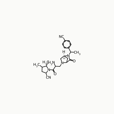 CC1CC(C#N)N(C(=O)C(N)CN2C[C@@H]3CC2C(=O)N3C(C)c2ccc(C#N)cc2)C1C